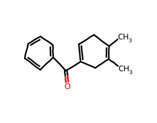 CC1=C(C)CC(C(=O)c2ccccc2)=CC1